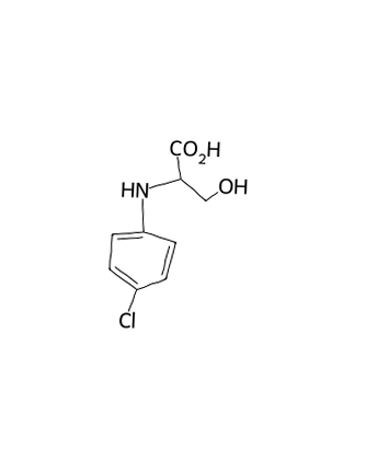 O=C(O)C(CO)Nc1ccc(Cl)cc1